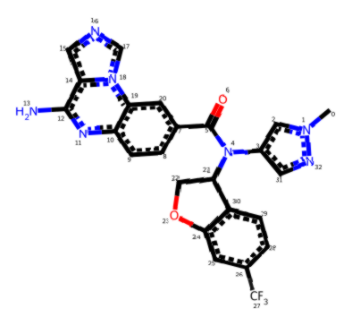 Cn1cc(N(C(=O)c2ccc3nc(N)c4cncn4c3c2)C2COc3cc(C(F)(F)F)ccc32)cn1